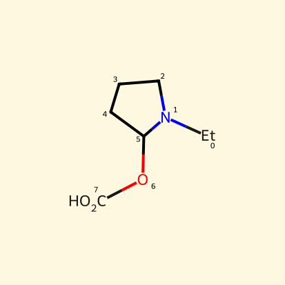 [CH2]CN1CCCC1OC(=O)O